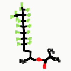 C=C(C)C(=O)OCC(C)CCC(F)(F)C(F)(F)C(F)(F)C(F)(F)C(F)(F)C(F)(C(F)(F)F)C(F)(F)F